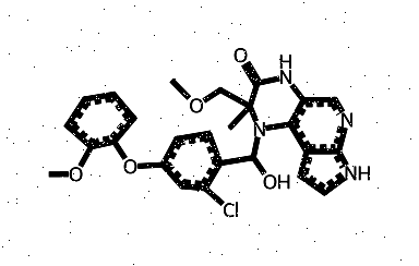 COCC1(C)C(=O)Nc2cnc3[nH]ccc3c2N1C(O)c1ccc(Oc2ccccc2OC)cc1Cl